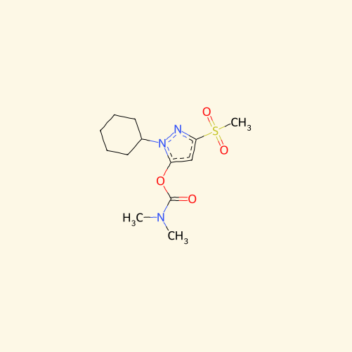 CN(C)C(=O)Oc1cc(S(C)(=O)=O)nn1C1CCCCC1